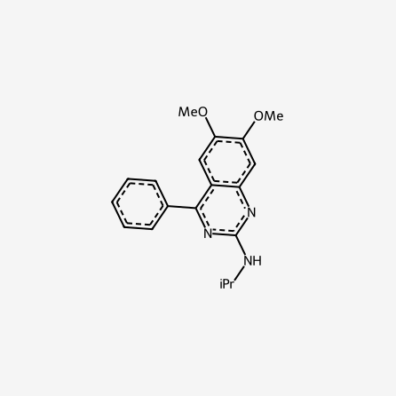 COc1cc2nc(NC(C)C)nc(-c3ccccc3)c2cc1OC